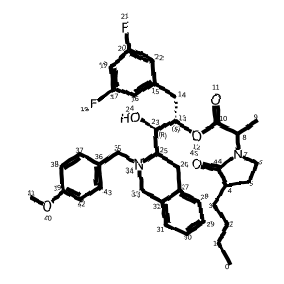 CCCCC1CCN(C(C)C(=O)O[C@@H](Cc2cc(F)cc(F)c2)[C@H](O)C2Cc3ccccc3CN2Cc2ccc(OC)cc2)C1=O